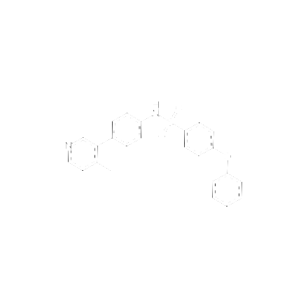 Cc1ccncc1-c1ccc(NS(=O)(=O)c2ccc(Oc3ccccc3)cc2)cc1